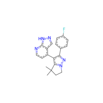 CC1(C)CCn2nc(-c3ccc(F)cc3)c(-c3ccnc4[nH]ncc34)c21